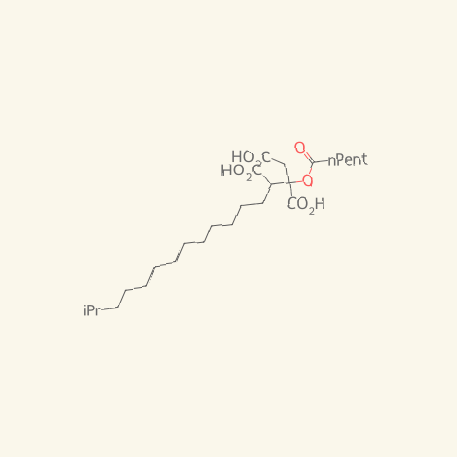 CCCCCC(=O)OC(CC(=O)O)(C(=O)O)C(CCCCCCCCCCCC(C)C)C(=O)O